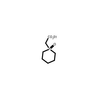 CCOC(=O)CP1(=O)CCCCC1